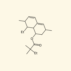 CCC1C(C)C=CC2=CC(C)CC(OC(=O)C(C)(C)CC)C21